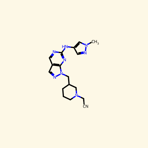 Cn1cc(Nc2ncc3cnn(CC4CCCN(CC#N)C4)c3n2)cn1